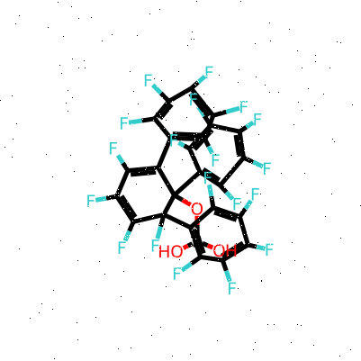 OB(O)OC1(c2c(F)c(F)c(F)c(F)c2F)C(c2c(F)c(F)c(F)c(F)c2F)=C(F)C(F)=C(F)C1(F)c1c(F)c(F)c(F)c(F)c1F